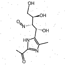 CC(=O)c1nc(C)c([C@@H](O)[C@H](N=O)[C@H](O)CO)[nH]1